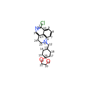 Clc1ncc2c3c(cccc13)N(CC1CCC3(CC1)OCCO3)CC2